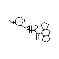 CCN1CCOC(CSNC(=O)Nc2c3c(cc4c2CCC4)CCC3)C1